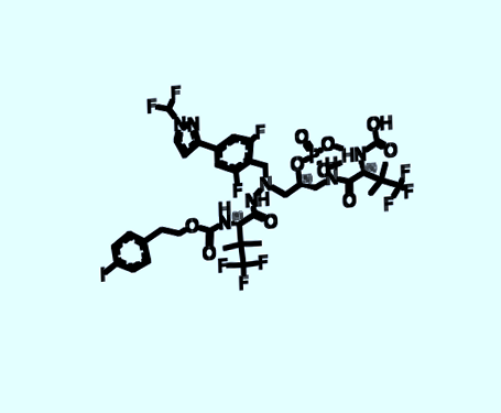 COP(=O)(OC)O[C@@H](CNC(=O)[C@@H](NC(=O)O)C(C)(C)C(F)(F)F)CN(Cc1c(F)cc(-c2ccn(C(F)F)n2)cc1F)NC(=O)[C@@H](NC(=O)OCCc1ccc(I)cc1)C(C)(C)C(F)(F)F